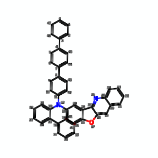 c1ccc(-c2ccc(-c3ccc(N(c4ccc5oc6cc7ccccc7nc6c5c4)c4ccccc4-c4ccccc4)cc3)cc2)cc1